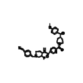 COc1ccc(C(=O)C2CCN(C(=O)c3ccc(C(=O)NC4CCN(Cc5ccc(C#N)cc5)CC4F)cn3)CC2)cc1